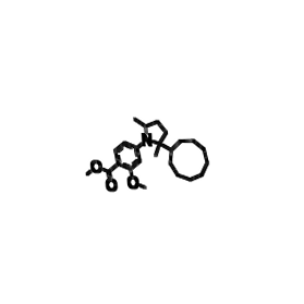 COC(=O)c1ccc(N2C(C)CCC2(C)C2CCCCCCCC2)cc1OC